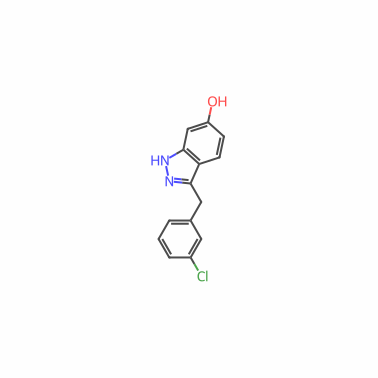 Oc1ccc2c(Cc3cccc(Cl)c3)n[nH]c2c1